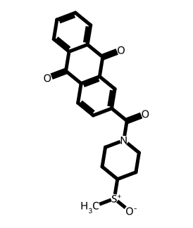 C[S+]([O-])C1CCN(C(=O)c2ccc3c(c2)C(=O)c2ccccc2C3=O)CC1